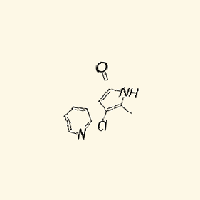 C=O.Cc1[nH]ccc1Cl.c1ccncc1